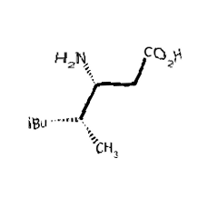 CC[C@@H](C)[C@@H](C)[C@H](N)CC(=O)O